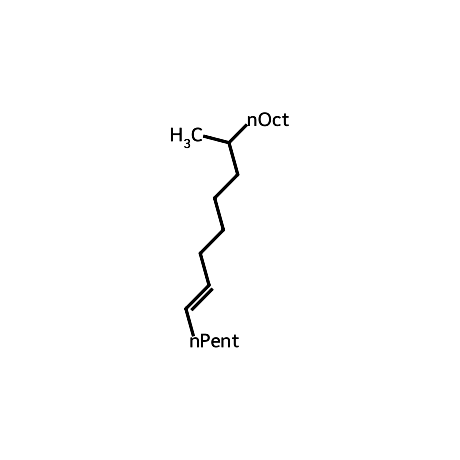 [CH2]CCCCC=CCCCCC(C)CCCCCCC[CH2]